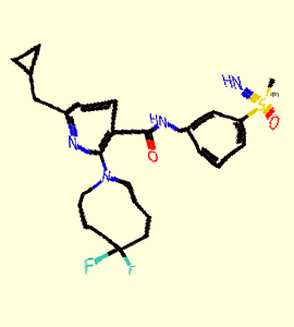 C[S@@](=N)(=O)c1cccc(NC(=O)c2ccc(CC3CC3)nc2N2CCCC(F)(F)CC2)c1